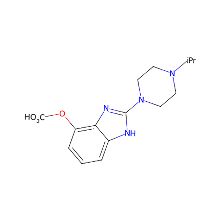 CC(C)N1CCN(c2nc3c(OC(=O)O)cccc3[nH]2)CC1